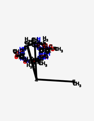 CCOC(=O)C1=CCC2NC(=O)NCc3c(CC)c4c(CC)c(c3CC)CNC(=O)Nc3ccc(C(=O)OCC)cc3NC(=O)NCc3c(CC)c(c(CC)c(c3CC)CNC(=O)NC2=C1)CNC=CC(=O)Nc1cc(C(=O)OCC)ccc1NC(=O)NC4